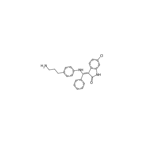 NCCCc1ccc(NC(=C2C(=O)Nc3cc(Cl)ccc32)c2ccccc2)cc1